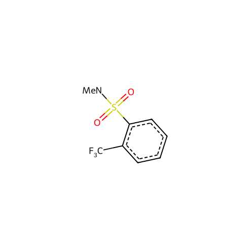 CNS(=O)(=O)c1ccccc1C(F)(F)F